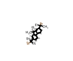 CCC(C)(Br)c1ccc2c(c1)C(C)(C)c1cc(C(Br)(CC)CC)ccc1-2